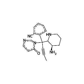 CC#CC(c1ccccc1C#N)(C1NCCC[C@H]1N)n1cnccc1=O